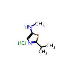 CNc1cnc(C(C)C)s1.Cl